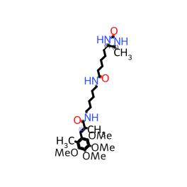 COc1c(C)c(/C=C(\C)C(=O)NCCCCCCNC(=O)CCCCC[C@H]2NC(=O)N[C@H]2C)c(OC)c(OC)c1OC